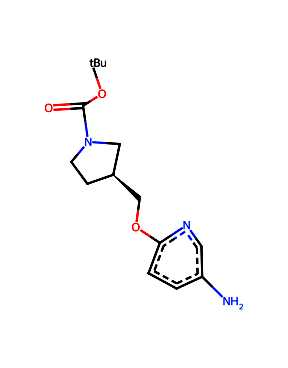 CC(C)(C)OC(=O)N1CC[C@H](COc2ccc(N)cn2)C1